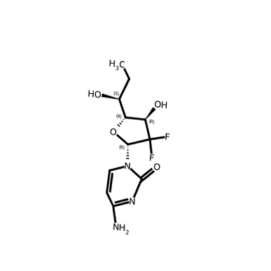 CC[C@H](O)[C@H]1O[C@@H](n2ccc(N)nc2=O)C(F)(F)[C@@H]1O